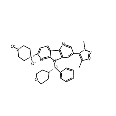 Cc1nnn(C)c1-c1cnc2c3ccc([N+]4([O-])CC[S+]([O-])CC4)nc3n([C@H](c3ccccc3)C3CCOCC3)c2c1